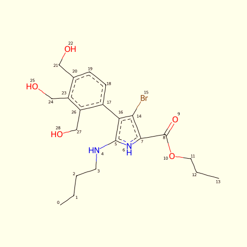 CCCCNc1[nH]c(C(=O)OCCC)c(Br)c1-c1ccc(CO)c(CO)c1CO